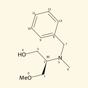 COC[C@@H](CO)N(C)Cc1ccccc1